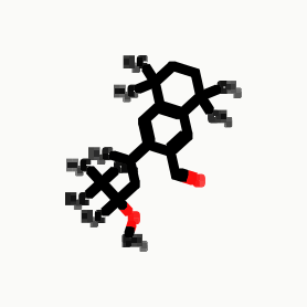 CC(CC(C)(O[SiH3])C(C)(C)C)c1cc2c(cc1C=O)C(C)(C)CCC2(C)C